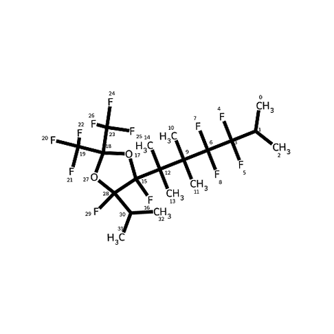 CC(C)C(F)(F)C(F)(F)C(C)(C)C(C)(C)C1(F)OC(C(F)(F)F)(C(F)(F)F)OC1(F)C(C)C